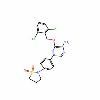 Nc1ncc(-c2ccc(N3CCCS3(=O)=O)cc2)nc1OCc1c(Cl)cccc1Cl